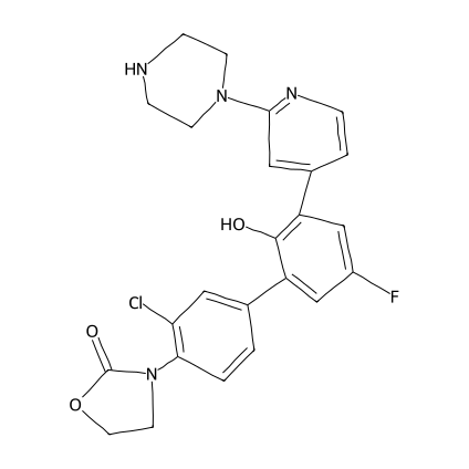 O=C1OCCN1c1ccc(-c2cc(F)cc(-c3ccnc(N4CCNCC4)c3)c2O)cc1Cl